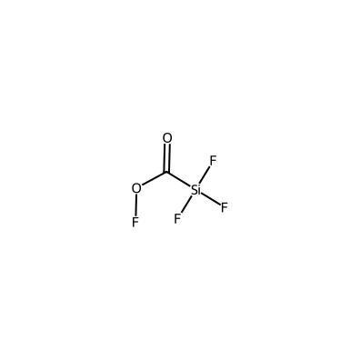 O=C(OF)[Si](F)(F)F